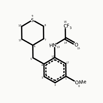 COc1ccc(CC2CCSCC2)c(NC(=O)C(F)(F)F)c1